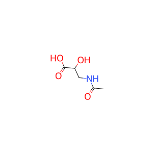 CC(=O)NCC(O)C(=O)O